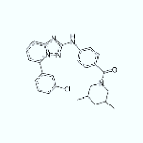 CC1CC(C)CN(C(=O)c2ccc(Nc3nc4cccc(-c5cccc(Cl)c5)n4n3)cc2)C1